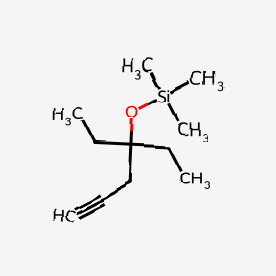 C#CCC(CC)(CC)O[Si](C)(C)C